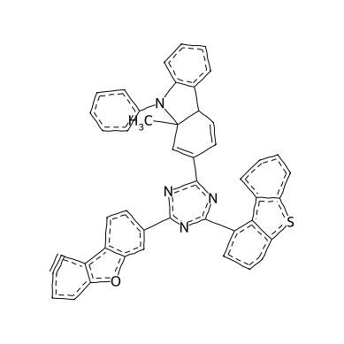 CC12C=C(c3nc(-c4ccc5c(c4)oc4ccc#cc45)nc(-c4cccc5sc6ccccc6c45)n3)C=CC1c1ccccc1N2c1ccccc1